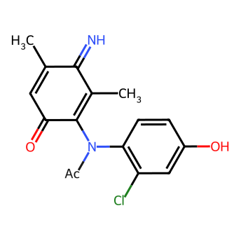 CC(=O)N(C1=C(C)C(=N)C(C)=CC1=O)c1ccc(O)cc1Cl